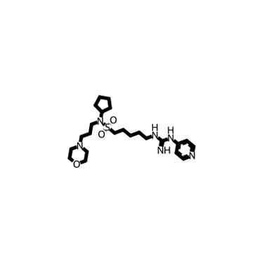 N=C(NCCCCCS(=O)(=O)N(CCCN1CCOCC1)C1CCCC1)Nc1ccncc1